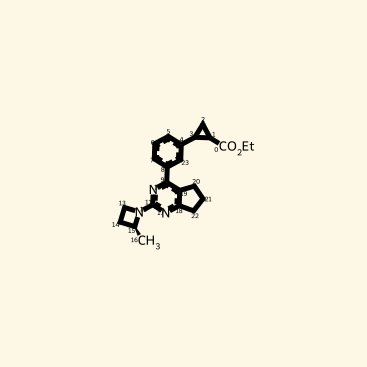 CCOC(=O)C1CC1c1cccc(-c2nc(N3CC[C@@H]3C)nc3c2CCC3)c1